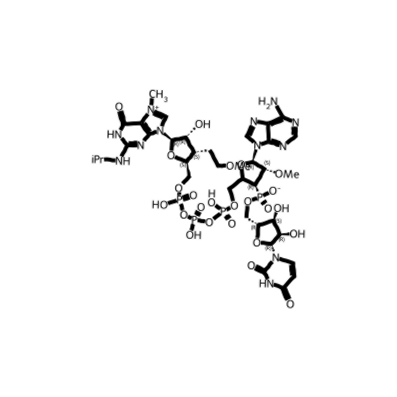 COCC[C@H]1[C@@H](O)[C@H](n2c[n+](C)c3c(=O)[nH]c(NC(C)C)nc32)O[C@@H]1COP(=O)(O)OP(=O)(O)OP(=O)(O)OCC1O[C@@H](n2cnc3c(N)ncnc32)[C@H](OC)[C@@H]1P(=O)([O-])OC[C@H]1O[C@@H](n2ccc(=O)[nH]c2=O)[C@H](O)[C@@H]1O